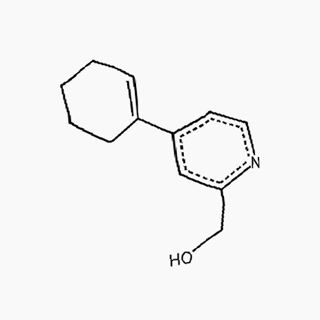 OCc1cc(C2=CCCCC2)ccn1